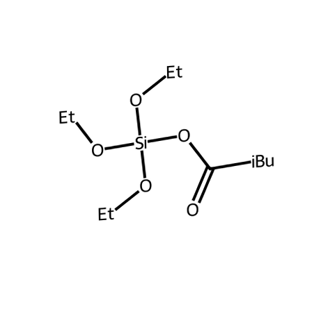 CCO[Si](OCC)(OCC)OC(=O)C(C)CC